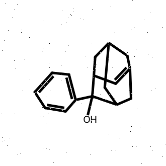 OC1(c2ccccc2)C2C=C3CC(C2)CC1C3